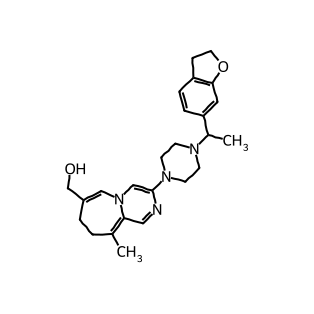 CC1=C2C=NC(N3CCN(C(C)c4ccc5c(c4)OCC5)CC3)=CN2C=C(CO)CC1